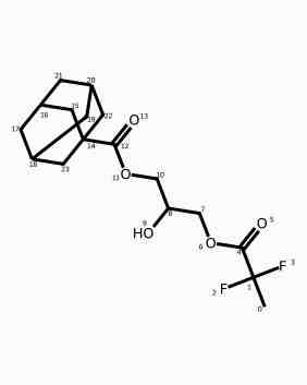 CC(F)(F)C(=O)OCC(O)COC(=O)C12CC3CC(CC(C3)C1)C2